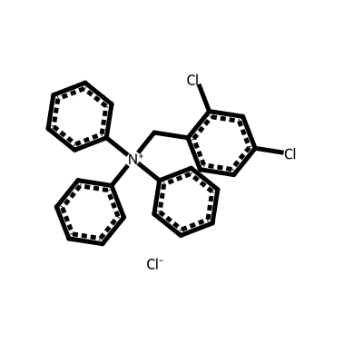 Clc1ccc(C[N+](c2ccccc2)(c2ccccc2)c2ccccc2)c(Cl)c1.[Cl-]